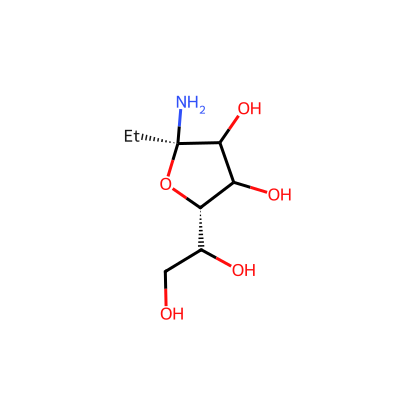 CC[C@@]1(N)O[C@@H](C(O)CO)C(O)C1O